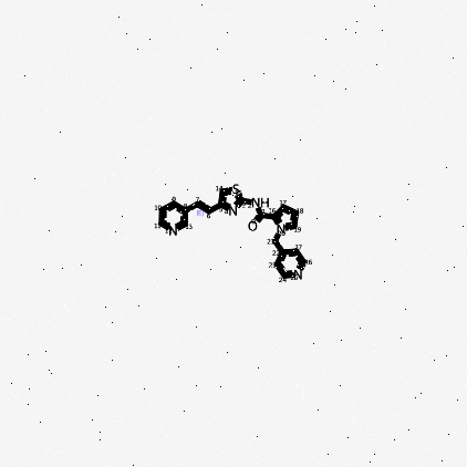 O=C(Nc1nc(/C=C/c2cccnc2)cs1)c1cccn1Cc1ccncc1